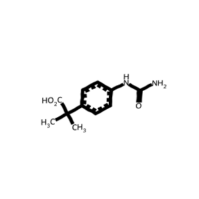 CC(C)(C(=O)O)c1ccc(NC(N)=O)cc1